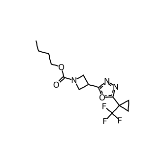 CCCCOC(=O)N1CC(c2nnc(C3(C(F)(F)F)CC3)o2)C1